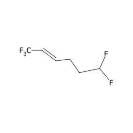 FC(F)CCC=CC(F)(F)F